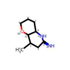 CC1CC(=N)NC2CCCOC12